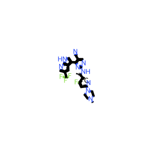 C[C@@H](Nc1ncc(C#N)c(-c2c[nH]c3ncc(C(F)(F)F)cc23)n1)c1cnc(N2CCN(C)CC2)cc1F